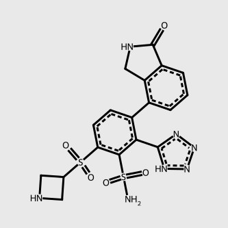 NS(=O)(=O)c1c(S(=O)(=O)C2CNC2)ccc(-c2cccc3c2CNC3=O)c1-c1nnn[nH]1